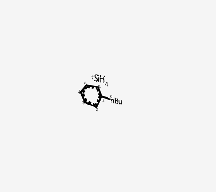 CCCCc1ccccc1.[SiH4]